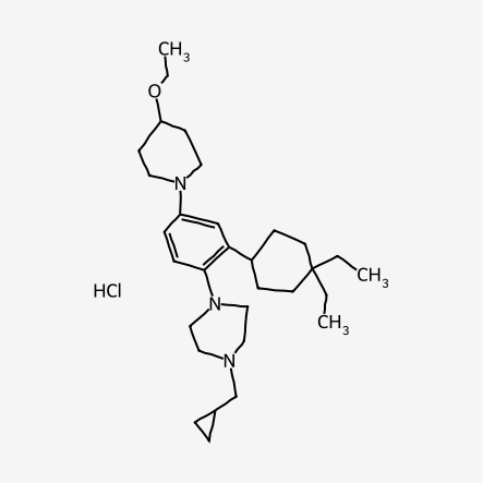 CCOC1CCN(c2ccc(N3CCN(CC4CC4)CC3)c(C3CCC(CC)(CC)CC3)c2)CC1.Cl